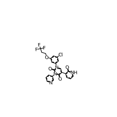 O=c1[nH]cccc1-c1cn(-c2cc(Cl)cc(OCCC(F)(F)F)c2)c(=O)n(-c2cccnc2)c1=O